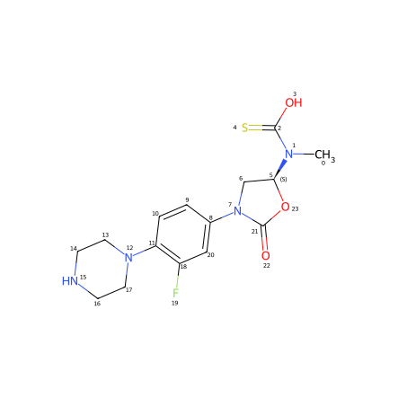 CN(C(O)=S)[C@@H]1CN(c2ccc(N3CCNCC3)c(F)c2)C(=O)O1